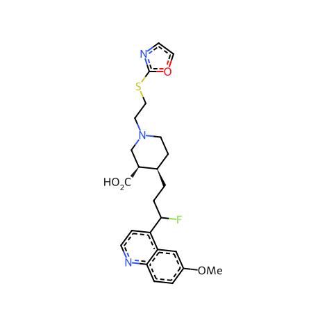 COc1ccc2nccc(C(F)CC[C@@H]3CCN(CCSc4ncco4)C[C@@H]3C(=O)O)c2c1